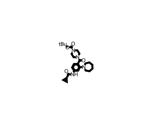 CC(C)(C)OC(=O)N1CCN(C(=O)c2ccc(NC(=O)C3CC3)cc2N2CCCCCC2)CC1